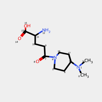 CN(C)C1CCN(C(=O)CCC(N)C(=O)O)CC1